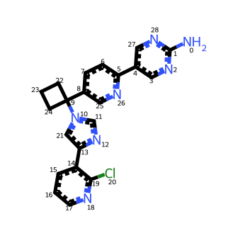 Nc1ncc(-c2ccc(C3(n4cnc(-c5cccnc5Cl)c4)CCC3)cn2)cn1